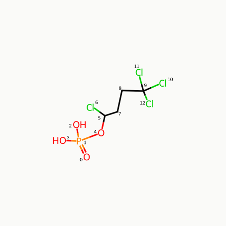 O=P(O)(O)OC(Cl)CCC(Cl)(Cl)Cl